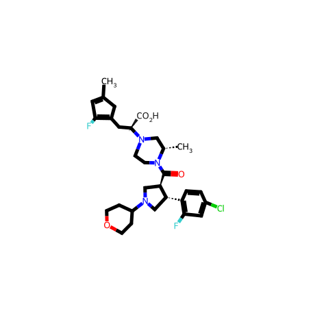 CC1=CC(F)=C(C[C@@H](C(=O)O)N2CCN(C(=O)[C@@H]3CN(C4CCOCC4)C[C@H]3c3ccc(Cl)cc3F)[C@@H](C)C2)C1